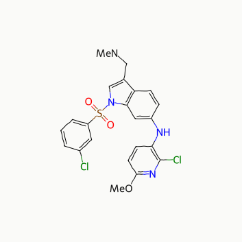 CNCc1cn(S(=O)(=O)c2cccc(Cl)c2)c2cc(Nc3ccc(OC)nc3Cl)ccc12